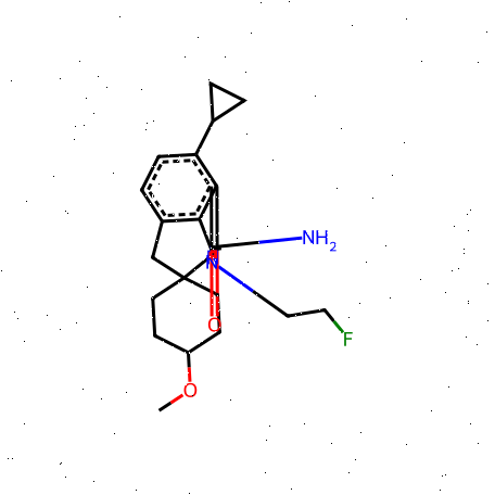 COC1CCC2(CC1)Cc1ccc(C3CC3)cc1C21N=C(N)N(CCF)C1=O